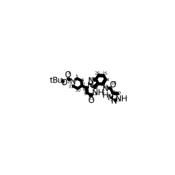 CC(C)(C)OC(=O)N1CCC(c2cc(=O)[nH]c3c4c(NC(=O)c5c[nH]nn5)cccc4nn23)CC1